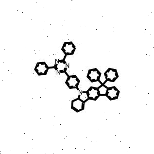 C1=CCC2C(=C1)c1cc3c(cc1N2c1ccc(-c2nc(-c4ccccc4)nc(-c4ccccc4)n2)cc1)C(c1ccccc1)(c1ccccc1)c1ccccc1-3